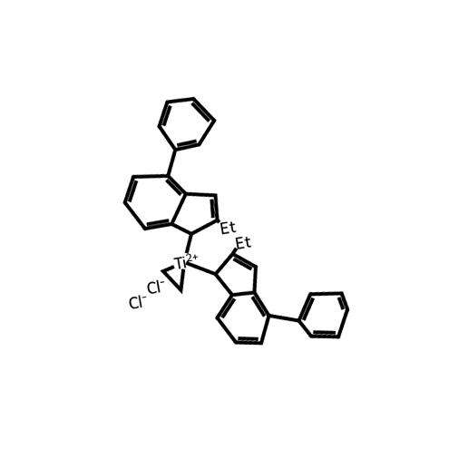 CCC1=Cc2c(-c3ccccc3)cccc2[CH]1[Ti+2]1([CH]2C(CC)=Cc3c(-c4ccccc4)cccc32)[CH2][CH2]1.[Cl-].[Cl-]